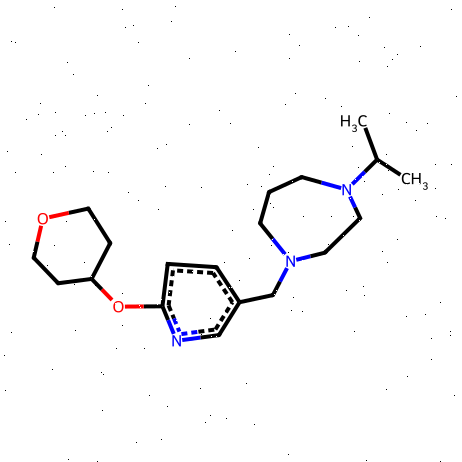 CC(C)N1CCCN(Cc2ccc(OC3CCOCC3)nc2)CC1